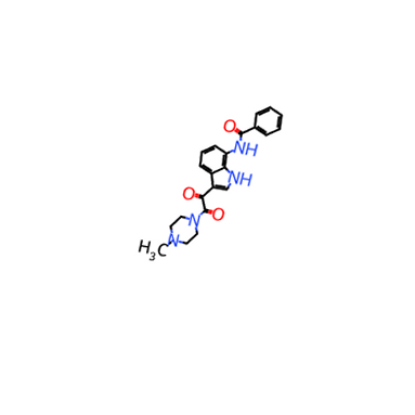 CN1CCN(C(=O)C(=O)c2c[nH]c3c(NC(=O)c4ccccc4)cccc23)CC1